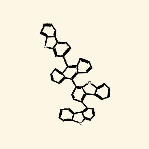 c1ccc2c(c1)oc1cc(-c3c4ccccc4c(-c4ccc(-c5cccc6oc7ccccc7c56)c5c4oc4ccccc45)c4ccccc34)ccc12